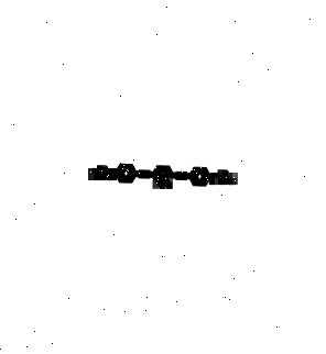 CCCCc1ccc(C#Cc2ccc(C#Cc3ccc(CCCC)cc3)nn2)cc1